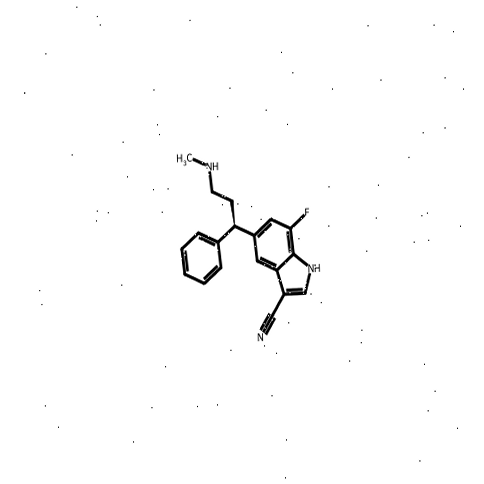 CNCC[C@H](c1ccccc1)c1cc(F)c2[nH]cc(C#N)c2c1